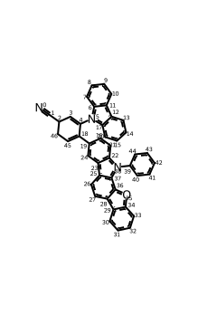 N#CC1C=C(n2c3ccccc3c3ccccc32)C(c2ccc3c(c2)c2ccc4c5ccccc5oc4c2n3-c2ccccc2)=CC1